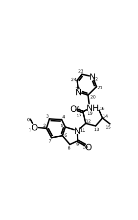 COc1ccc2c(c1)CC(=O)N2C(CC(C)C)C(=O)Nc1cnccn1